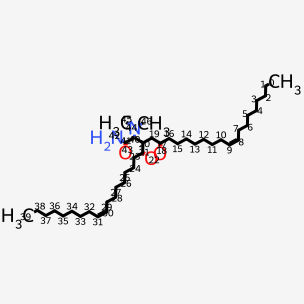 CCCCCCCC/C=C\CCCCCCCC(=O)CC(C(=O)CCCCCCC/C=C\CCCCCCCC)C(C(N)=O)N(C)C